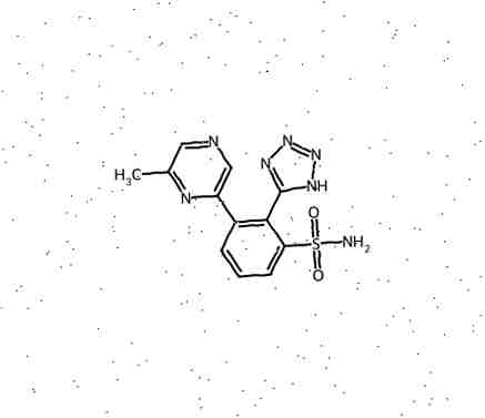 Cc1cncc(-c2cccc(S(N)(=O)=O)c2-c2nnn[nH]2)n1